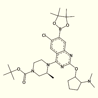 C[C@H]1CN(C(=O)OC(C)(C)C)CCN1c1nc(OC2CCCC2N(C)C)nc2cc(B3OC(C)(C)C(C)(C)O3)c(Cl)cc12